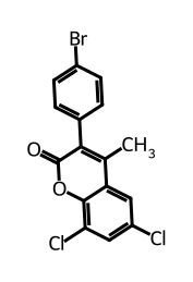 Cc1c(-c2ccc(Br)cc2)c(=O)oc2c(Cl)cc(Cl)cc12